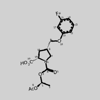 CC(=O)O[C@H](C)OC(=O)N1C[C@@H](COc2cccc(F)c2)C[C@H]1C(=O)O